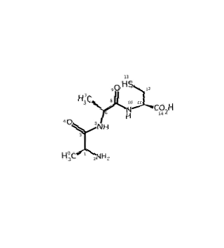 C[C@H](N)C(=O)N[C@@H](C)C(=O)N[C@@H](CS)C(=O)O